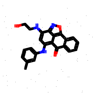 Cc1cccc(Nc2cc(NCCO)c3noc4c3c2C(=O)c2ccccc2-4)c1